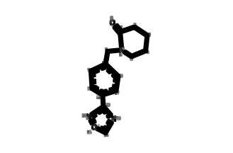 O=C1CCCCN1Cc1ccc(-c2ncon2)cc1